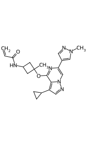 C=CC(=O)NC1CC(C)(Oc2nc(-c3cnn(C)c3)cn3ncc(C4CC4)c23)C1